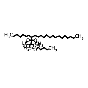 CCCCCCCCCCCCCCCC(CCCCCCC)C(OC)(OC)C(=O)O.CCCCCO[SiH3]